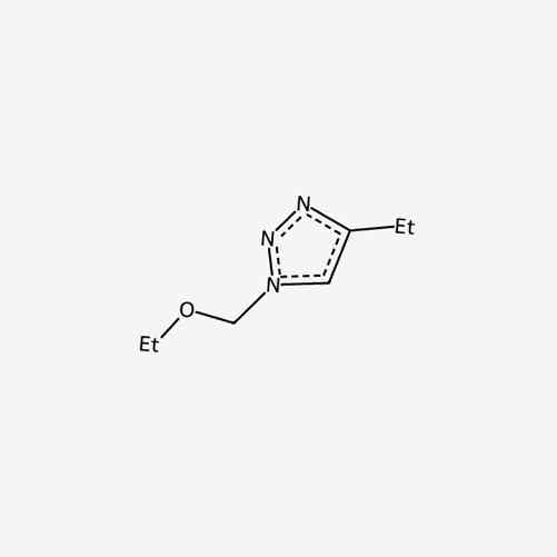 CCOCn1cc(CC)nn1